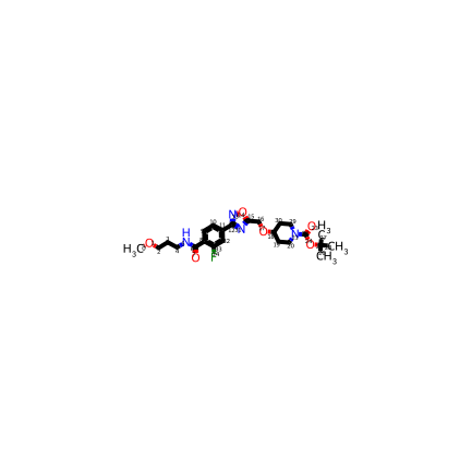 COCCCNC(=O)c1ccc(-c2noc(COC3CCN(C(=O)OC(C)(C)C)CC3)n2)cc1F